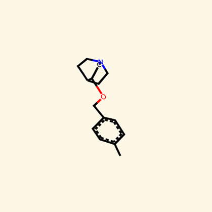 Cc1ccc(COC2CN3CCC2CC3)cc1